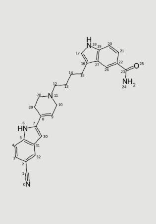 N#Cc1ccc2[nH]c(C3=CCN(CCCCc4c[nH]c5ccc(C(N)=O)cc45)CC3)cc2c1